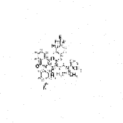 CC(C)N(CCN(C(=O)Cc1ccc(C(F)(F)F)c(F)c1)[C@H](C)c1nc2ccccc2c(=O)n1-c1ccc(C#N)cc1)C(C)C